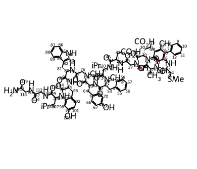 CSCC(=O)N[C@@H](Cc1ccccc1)C(=O)N(C)[C@@H](C)C(=O)N(c1cccc(C)c1)[C@@H](CCC(=O)O)C(=O)N(C)CC(=O)NC(CC(=O)O)C(=O)N[C@H](C(=O)N(C)[C@@H](Cc1ccccc1)C(=O)N[C@@H](Cc1ccc(O)cc1)C(=O)N(C)CC(=O)N[C@@H](Cc1c[nH]c2ccccc12)C(=O)N[C@@H](Cc1ccc(O)cc1)C(=O)NC(CC(C)C)C(=O)NCC(=O)NCC(N)=O)C(C)C